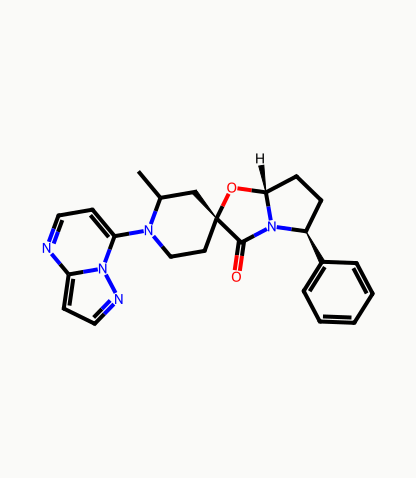 CC1C[C@@]2(CCN1c1ccnc3ccnn13)O[C@@H]1CC[C@@H](c3ccccc3)N1C2=O